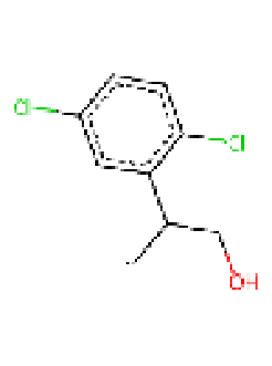 [CH2]C(CO)c1cc(Cl)ccc1Cl